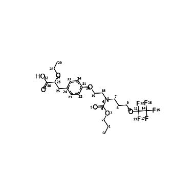 CCCOC(=O)N(CCCOC(F)(F)C(F)(F)F)CCOc1ccc(CC(OCC)C(=O)O)cc1